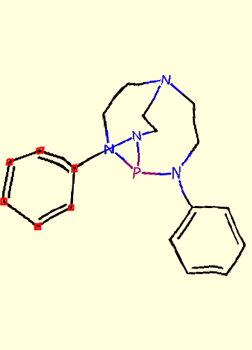 c1ccc(N2CCN3CCN(c4ccccc4)P2N(c2ccccc2)CC3)cc1